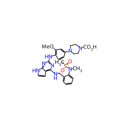 COc1cc(N2CCN(C(=O)O)CC2)ccc1Nc1nc(NCc2ccccc2N(C)S(C)(=O)=O)c2cc[nH]c2n1